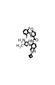 C[C@H]1CN(c2c(NC(=O)c3ccc(=O)n(-c4c(F)cccc4F)n3)ccc3nn(C45CC(C4)C5)cc23)C[C@@H]1N